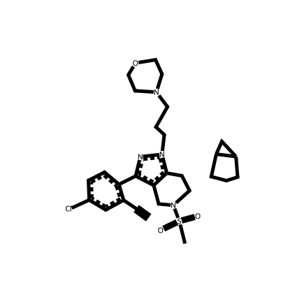 C#Cc1cc(Cl)ccc1-c1nn(CCCN2CCOCC2)c2c1CN(S(C)(=O)=O)CC2.C1CC2CC2C1